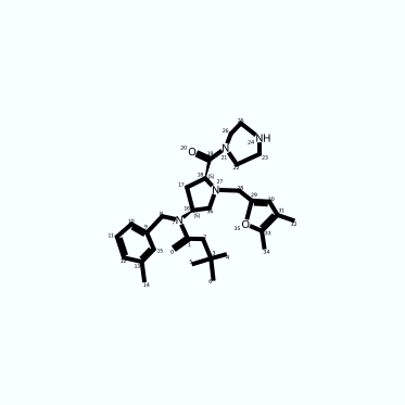 C=C(CC(C)(C)C)N(Cc1cccc(C)c1)[C@H]1C[C@@H](C(=O)N2CCNCC2)N(Cc2cc(C)c(C)o2)C1